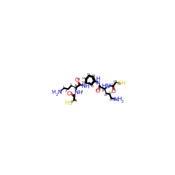 NCCC[C@H](NC(=O)CS)C(=O)Nc1cccc(NC(=O)[C@H](CCCN)NC(=O)CS)c1